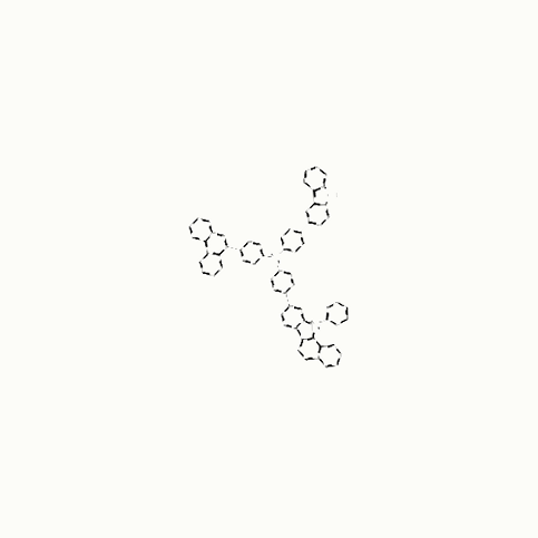 c1ccc(-n2c3cc(-c4ccc(N(c5ccc(-c6ccc7oc8ccccc8c7c6)cc5)c5ccc(-c6cc7ccccc7c7ccccc67)cc5)cc4)ccc3c3ccc4ccccc4c32)cc1